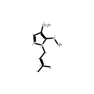 CCCOc1c(C(=O)OCC)cnn1CC=C(C)C